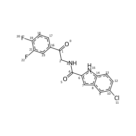 O=C(CNC(=O)c1cc2cc(Cl)ccc2[nH]1)c1ccc(F)c(F)c1